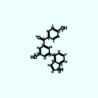 O=C(c1ccc(O)nc1)c1cc(O)cc(-c2cccc3[nH]ccc23)c1